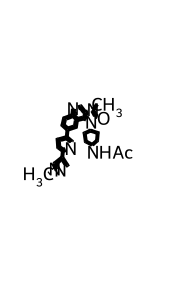 CC(=O)NC1CCC(n2c(=O)n(C)c3cnc4ccc(-c5ccc(-c6cnn(C)c6)nc5)cc4c32)CC1